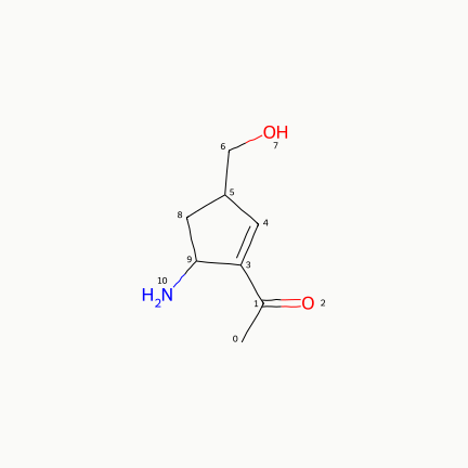 CC(=O)C1=CC(CO)CC1N